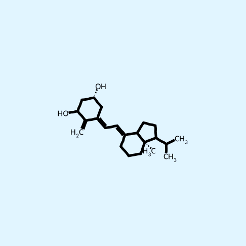 C=C1/C(=C/C=C2\CCC[C@@]3(C)C2CCC3C(C)C)C[C@@H](O)CC1O